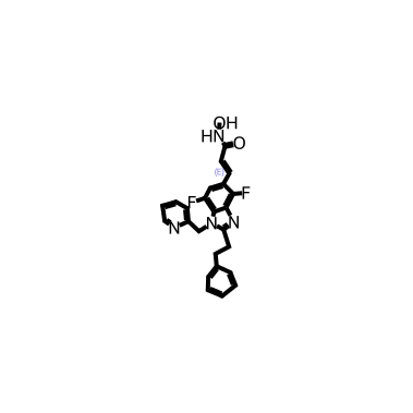 O=C(/C=C/c1cc(F)c2c(nc(CCc3ccccc3)n2Cc2ccccn2)c1F)NO